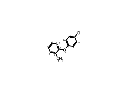 Cc1cccnc1Oc1ccc(Cl)cc1